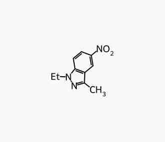 CCn1nc(C)c2cc([N+](=O)[O-])ccc21